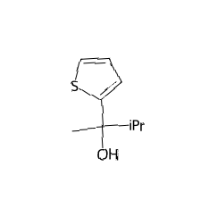 CC(C)C(C)(O)c1cccs1